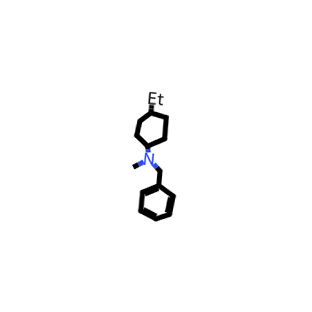 CCC1CCC(N(C)Cc2ccccc2)CC1